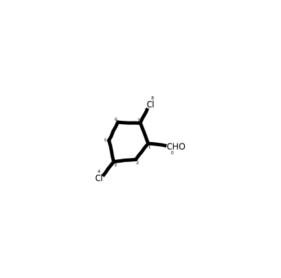 O=CC1CC(Cl)CCC1Cl